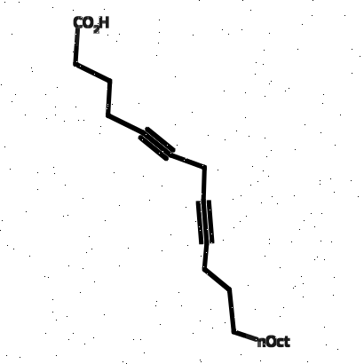 CCCCCCCCCCCC#CCC#CCCCC(=O)O